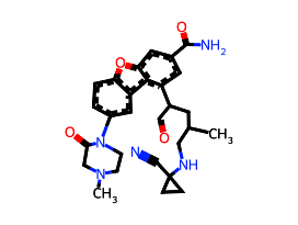 CC(CNC1(C#N)CC1)CC(C=O)c1cc(C(N)=O)cc2oc3ccc(N4CCN(C)CC4=O)cc3c12